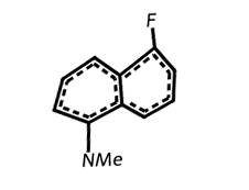 CNc1cccc2c(F)cccc12